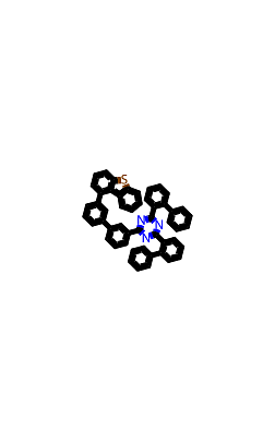 c1ccc(-c2ccccc2-c2nc(-c3cccc(-c4cccc(-c5cccc6sc7ccccc7c56)c4)c3)nc(-c3ccccc3-c3ccccc3)n2)cc1